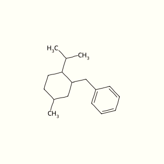 CC1CCC(C(C)C)[C](Cc2ccccc2)C1